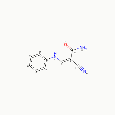 N#CC(=CNc1ccccc1)C(N)=O